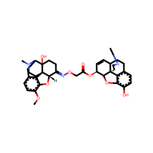 COc1ccc2c3c1O[C@H]1/C(=N/OCC(=O)O[C@H]4C=CC5C6Cc7ccc(O)c8c7[C@@]5(CCN6C)C4O8)CC[C@@]4(O)C(C2)N(C)CC[C@]314